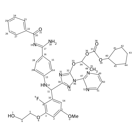 COc1cc(OCCO)c(F)c(C(Nc2ccc(C(N)=NC(=O)c3ccccc3)cc2)c2nc(OC(C)OC(=O)OC3CCCCC3)n(-c3ncccn3)n2)c1